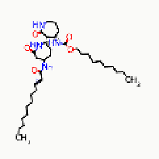 CCCCCCCCC/C=C/C(=O)NC1CC[C@@H](C2C(=O)NCCC[C@@H]2NC(=O)OCCCCCCCCCC)NC(=O)C1